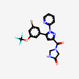 O=C1CN(C(=O)c2cc(-c3cc(Br)cc(OC(F)(F)F)c3)n(-c3ccccn3)n2)CN1